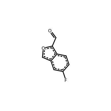 O=Cc1occ2cc(F)ccc12